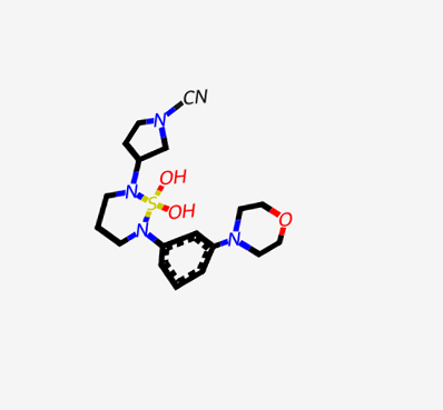 N#CN1CCC(N2CCCN(c3cccc(N4CCOCC4)c3)S2(O)O)C1